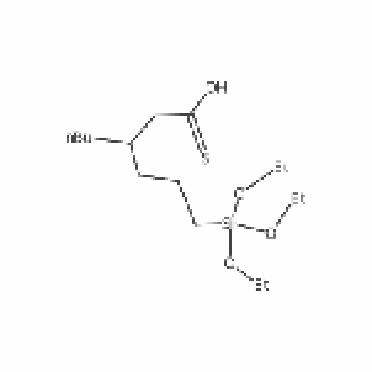 CCCCC(CCC[Si](OCC)(OCC)OCC)CC(O)=S